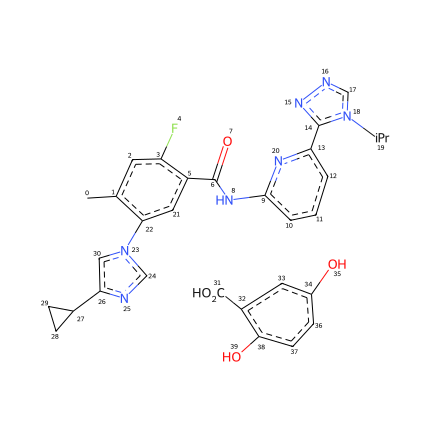 Cc1cc(F)c(C(=O)Nc2cccc(-c3nncn3C(C)C)n2)cc1-n1cnc(C2CC2)c1.O=C(O)c1cc(O)ccc1O